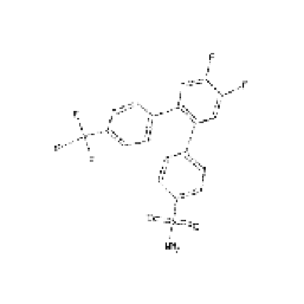 NS(=O)(=O)c1ccc(-c2cc(F)c(F)cc2-c2ccc(C(F)(F)F)cc2)cc1